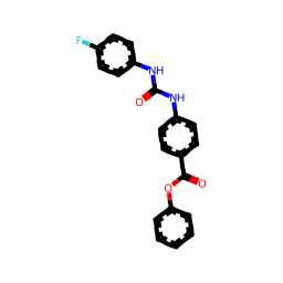 O=C(Nc1ccc(F)cc1)Nc1ccc(C(=O)Oc2ccccc2)cc1